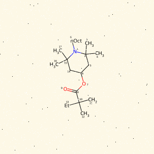 CCCCCCCCN1C(C)(C)CC(OC(=O)C(C)(C)CC)CC1(C)C